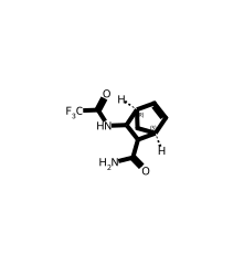 NC(=O)C1C(NC(=O)C(F)(F)F)[C@H]2C=C[C@@H]1C2